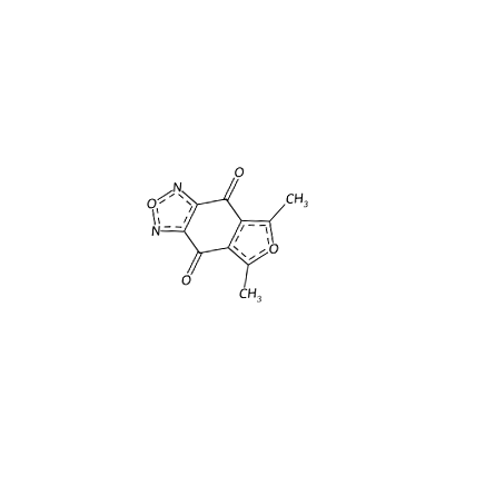 Cc1oc(C)c2c1C(=O)c1nonc1C2=O